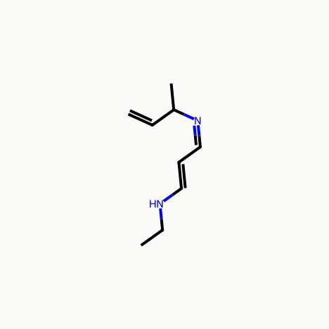 C=CC(C)/N=C\C=C\NCC